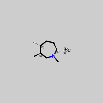 CC[C@H](C)[C@@H]1CC[C@@H](C)[C@H](C)CN1C